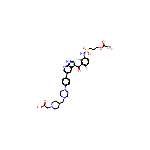 CC(=O)OCCCS(=O)(=O)Nc1ccc(F)c(C(=O)c2c[nH]c3ncc(-c4ccc(N5CCN(CC6CCN(CC(=O)O)CC6)CC5)cc4)cc23)c1F